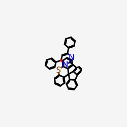 c1ccc(-c2cc(-c3ccccc3)nc(-c3cccc4c3C3(c5ccccc5Sc5ccccc53)c3ccccc3-4)n2)cc1